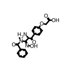 CN(C(=O)c1ccccc1)C(=NO)C(N)C(=O)c1ccc(OCC(=O)O)cc1